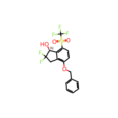 O=S(=O)(c1ccc(OCc2ccccc2)c2c1[C@H](O)C(F)(F)C2)C(F)(F)F